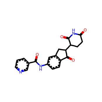 O=C1CCC(C2Cc3cc(NC(=O)c4cccnc4)ccc3C2=O)C(=O)N1